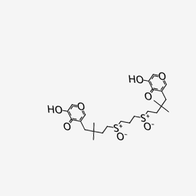 CC(C)(CC[S+]([O-])CCC[S+]([O-])CCC(C)(C)Cc1cocc(O)c1=O)Cc1cocc(O)c1=O